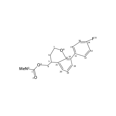 CNC(=O)OCC1CCOc2c(-c3ccc(F)cc3)cccc21